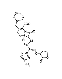 Nc1nc(C(=NOC2CCOC2=O)C(=O)NC2C(=O)N3C(C(=O)[O-])=C(C[n+]4ccccc4)CS[C@@H]23)ns1